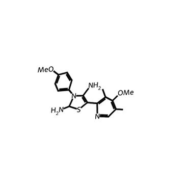 COc1ccc(N2C(N)=C(c3ncc(C)c(OC)c3C)SC2N)cc1